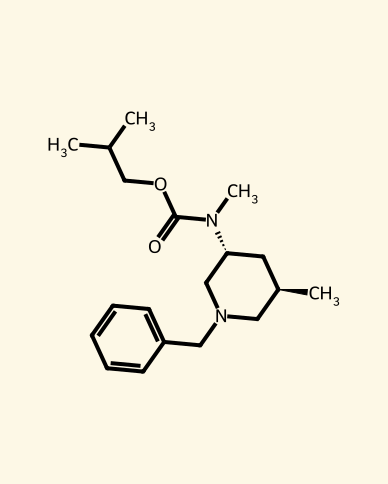 CC(C)COC(=O)N(C)[C@@H]1C[C@@H](C)CN(Cc2ccccc2)C1